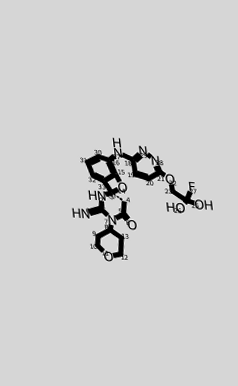 N=C1N[C@]2(CC(=O)N1C1CCOCC1)Oc1c(Nc3ccc(OCC(O)(O)F)nn3)cccc12